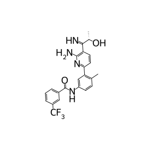 Cc1ccc(NC(=O)c2cccc(C(F)(F)F)c2)cc1-c1ccc(C(=N)[C@H](C)O)c(N)n1